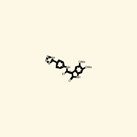 CC/C(Nc1ccc(-c2nnn[nH]2)cc1)=C1\C(=O)Nc2cc(OC)c(OC)cc21